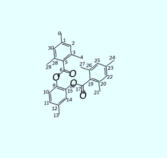 Cc1cc(C)c(C(=O)Oc2ccc(C)cc2OC(=O)c2c(C)cc(C)cc2C)c(C)c1